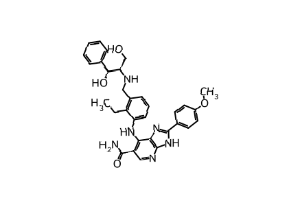 CCc1c(CN[C@H](CO)[C@@H](O)c2ccccc2)cccc1Nc1c(C(N)=O)cnc2[nH]c(-c3ccc(OC)cc3)nc12